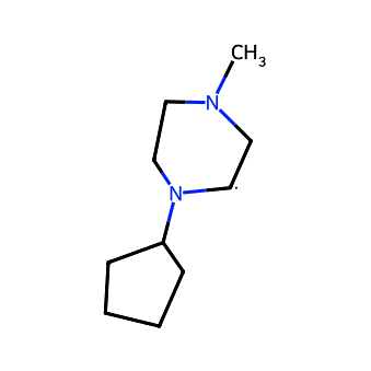 CN1C[CH]N(C2CCCC2)CC1